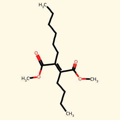 CCCCCCC(C(=O)OC)=C(CCCC)C(=O)OC